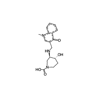 Cn1cc(CN[C@@H]2CN(C(=O)O)CC[C@H]2O)c(=O)c2ccccc21